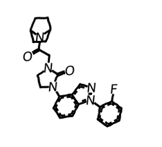 O=C1N(CC(=O)N2C3CCC2CC3)CCN1c1cccc2c1cnn2-c1ccccc1F